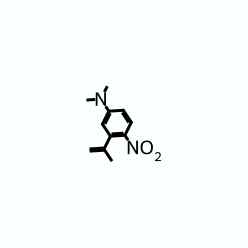 C=C(C)c1cc(N(C)C)ccc1[N+](=O)[O-]